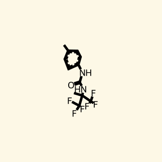 Cc1ccc(NC(=O)NC(C)(C(F)(F)F)C(F)(F)F)cc1